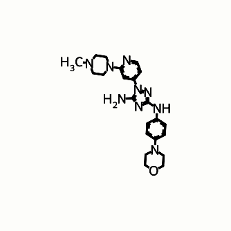 CN1CCN(c2cc(-n3nc(Nc4ccc(N5CCOCC5)cc4)nc3N)ccn2)CC1